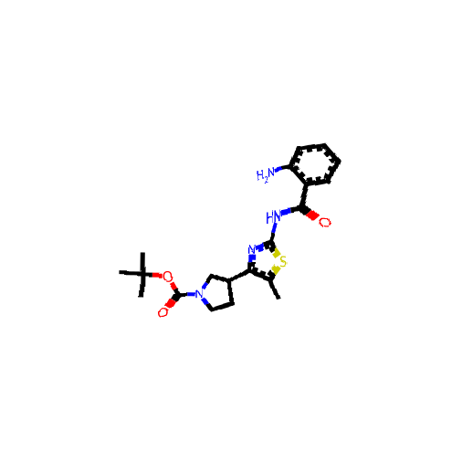 Cc1sc(NC(=O)c2ccccc2N)nc1C1CCN(C(=O)OC(C)(C)C)C1